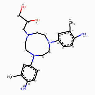 Cc1cc(N2CCN(CC(O)CO)CCN(c3ccc(N)c(C)c3)CC2)ccc1N